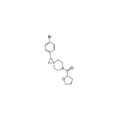 O=C(C1CCCO1)N1CCC2(CC1)CC2c1ccc(Br)cc1